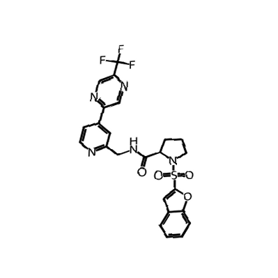 O=C(NCc1cc(-c2cnc(C(F)(F)F)cn2)ccn1)C1CCCN1S(=O)(=O)c1cc2ccccc2o1